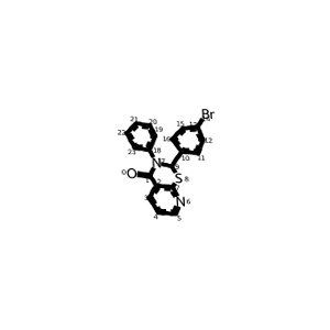 O=C1c2cccnc2SC(c2ccc(Br)cc2)N1c1ccccc1